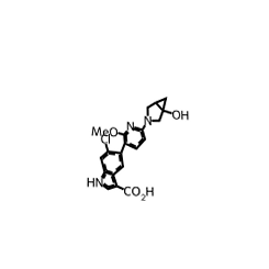 COc1nc(N2CC3CC3(O)C2)ccc1-c1cc2c(C(=O)O)c[nH]c2cc1Cl